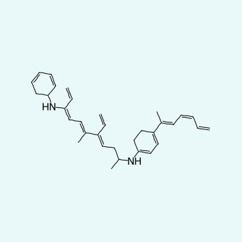 C=C/C=C\C=C(/C)C1=CC=C(NC(C)C/C=C(C=C)/C(C)=C/C=C(\C=C)NC2C=CC=CC2)CC1